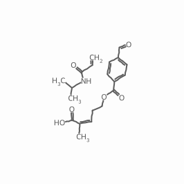 C=CC(=O)NC(C)C.CC(=CCCOC(=O)c1ccc(C=O)cc1)C(=O)O